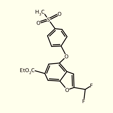 CCOC(=O)c1cc(Oc2ccc(S(C)(=O)=O)cc2)c2cc(C(F)F)oc2c1